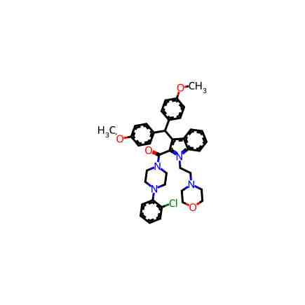 COc1ccc(C(c2ccc(OC)cc2)c2c(C(=O)N3CCN(c4ccccc4Cl)CC3)n(CCN3CCOCC3)c3ccccc23)cc1